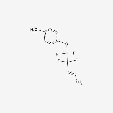 C/C=C/C(F)(F)C(F)(F)Oc1ccc(C)cc1